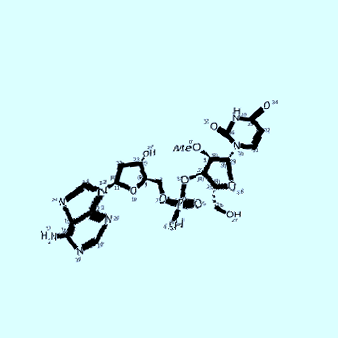 CO[C@@H]1[C@H](OP(=O)(S)OC[C@H]2O[C@@H](n3cnc4c(N)ncnc43)C[C@@H]2O)[C@@H](CO)O[C@H]1n1ccc(=O)[nH]c1=O